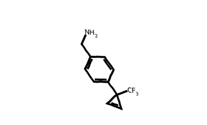 NCc1ccc(C2(C(F)(F)F)C=C2)cc1